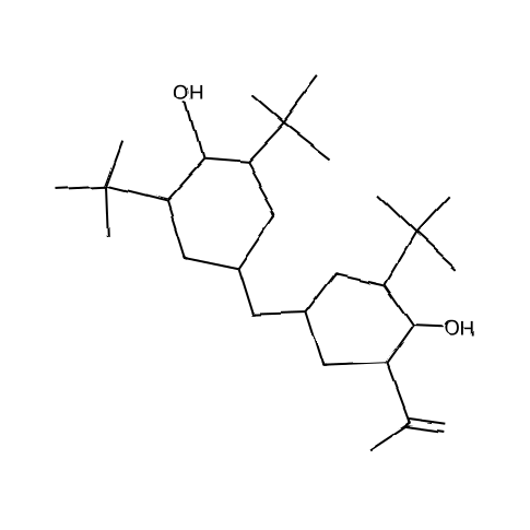 C=C(C)C1CC(CC2CC(C(C)(C)C)C(O)C(C(C)(C)C)C2)CC(C(C)(C)C)C1O